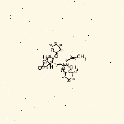 CC#CCC(C)[C@@H](/C=C/[C@@H]1[C@H]2CC(=O)O[C@H]2C[C@H]1OC1CCCCO1)OC1CCCCO1